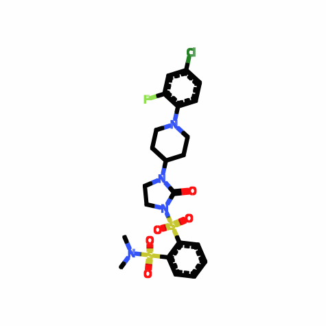 CN(C)S(=O)(=O)c1ccccc1S(=O)(=O)N1CCN(C2CCN(c3ccc(Cl)cc3F)CC2)C1=O